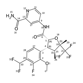 COc1c([C@@H]2[C@H](C(=O)Nc3ccnc(C(N)=O)c3)O[C@](C)(C(F)(F)F)[C@H]2C)ccc(C(F)F)c1F